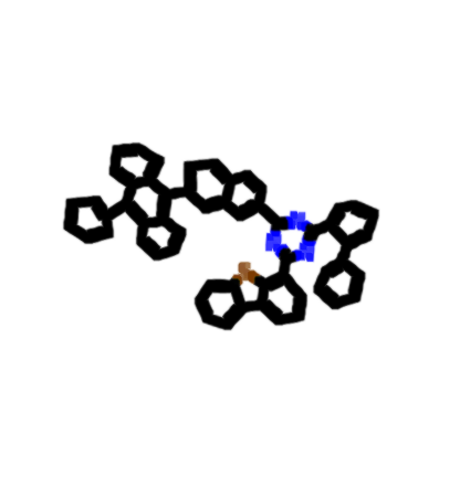 c1ccc(-c2ccccc2-c2nc(-c3ccc4ccc(-c5c6ccccc6c(-c6ccccc6)c6ccccc56)cc4c3)nc(-c3cccc4c3sc3ccccc34)n2)cc1